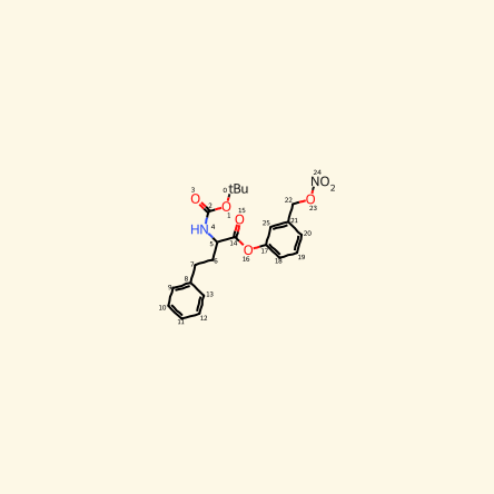 CC(C)(C)OC(=O)NC(CCc1ccccc1)C(=O)Oc1cccc(CO[N+](=O)[O-])c1